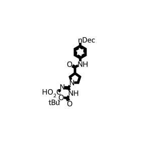 CCCCCCCCCCc1ccc(NC(=O)C2CCN(C(=NC(=O)O)NC(=O)OC(C)(C)C)C2)cc1